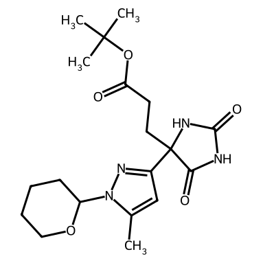 Cc1cc(C2(CCC(=O)OC(C)(C)C)NC(=O)NC2=O)nn1C1CCCCO1